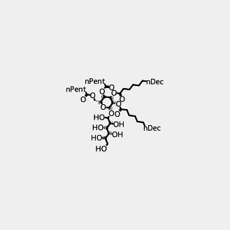 CCCCCCCCCCCCCCCC(=O)O[C@@H]1[C@H](OC(=O)CCCCCCCCCCCCCCC)[C@H](OC(O)[C@@H](O)[C@@H](O)[C@H](O)[C@H](O)CO)O[C@H](COC(=O)CCCCC)[C@H]1OC(=O)CCCCC